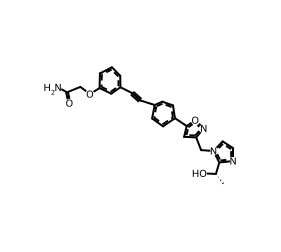 C[C@H](O)c1nccn1Cc1cc(-c2ccc(C#Cc3cccc(OCC(N)=O)c3)cc2)on1